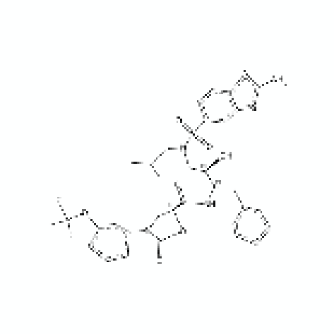 CC(C)CN(C[C@@H](O)[C@H](Cc1ccccc1)NC(=O)[C@@H]1CN(c2cccc(OC(F)(F)F)c2)C(=O)O1)S(=O)(=O)c1ccc2nc(N)sc2c1